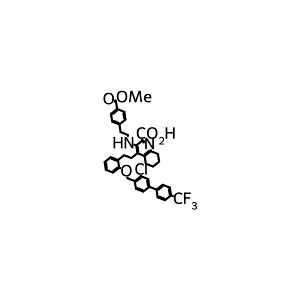 COC(=O)c1ccc(CCNc2c(C(=O)O)nc3c(c2CCc2ccccc2OCc2ccc(-c4ccc(C(F)(F)F)cc4)cc2Cl)CCCC3)cc1